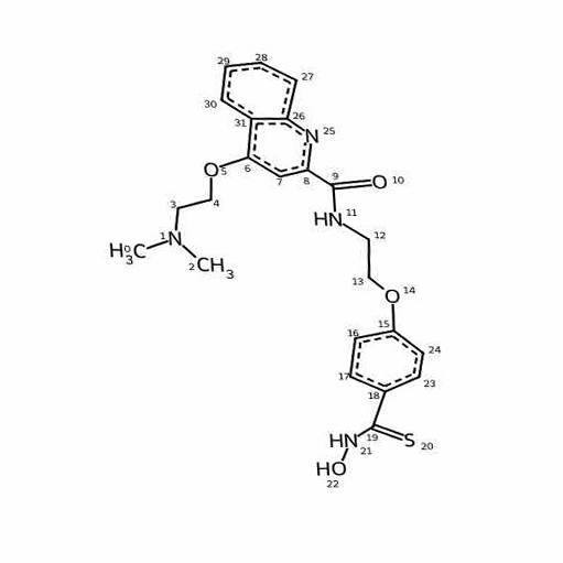 CN(C)CCOc1cc(C(=O)NCCOc2ccc(C(=S)NO)cc2)nc2ccccc12